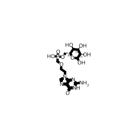 Nc1nc2c(ncn2CCOCP(=O)(O)OC[C@H]2OC(O)[C@@H](O)[C@@H](O)[C@@H]2O)c(=O)[nH]1